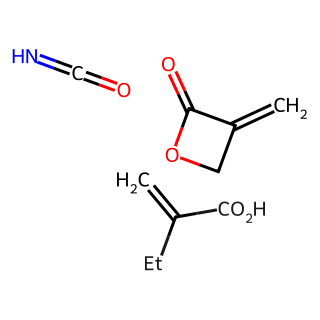 C=C(CC)C(=O)O.C=C1COC1=O.N=C=O